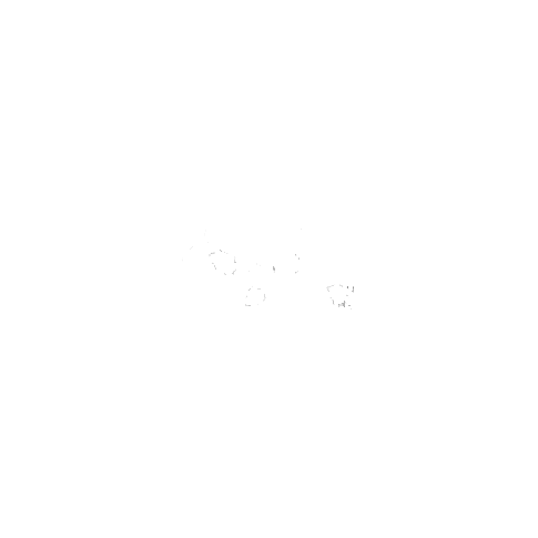 CC(C)c1ccc([C@@H](NC(=O)[C@@H]2C[C@@H](F)CN2C(=O)CCc2cn[nH]c2)c2ccccc2)cc1